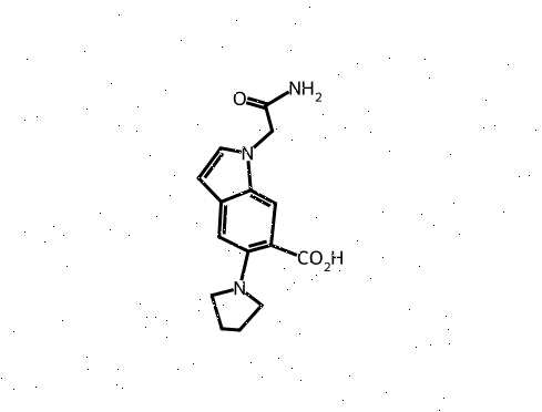 NC(=O)Cn1ccc2cc(N3CCCC3)c(C(=O)O)cc21